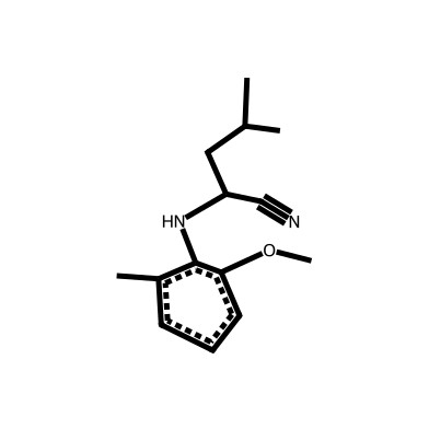 COc1cccc(C)c1NC(C#N)CC(C)C